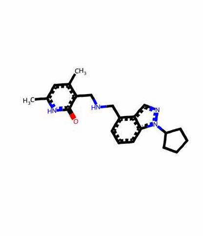 Cc1cc(C)c(CNCc2cccc3c2cnn3C2CCCC2)c(=O)[nH]1